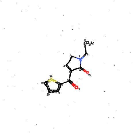 O=C(O)CN1CCC(C(=O)c2cccs2)C1=O